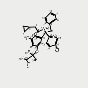 O=C(CC1CC1)N[C@@](Cc1ccccc1)(c1cc(F)cc(OC(F)(F)C(F)F)c1)c1ccc(Cl)cn1